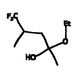 CCOC(C)(O)CC(C)C(F)(F)F